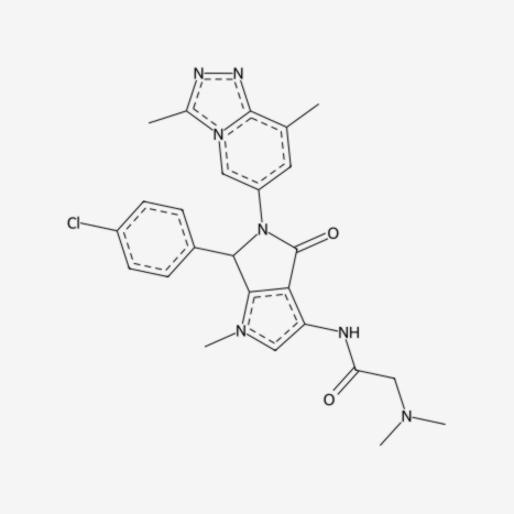 Cc1cc(N2C(=O)c3c(NC(=O)CN(C)C)cn(C)c3C2c2ccc(Cl)cc2)cn2c(C)nnc12